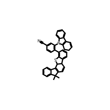 CC1(C)C2=C(c3ccccc31)C1Sc3c(-c4ccc(C#N)cc4-n4c5c(c6ccccc64)C=CCC5)cccc3C1C=C2